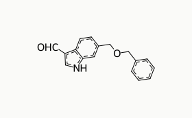 O=Cc1c[nH]c2cc(COCc3ccccc3)ccc12